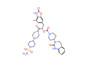 Cc1cc(CC(OC(=O)N2CCC(N3CCc4ccccc4NC3=O)CC2)C(=O)N2CCN(C3CCN(S(N)(=O)=O)CC3)CC2)cc2oc(=O)n(C)c12